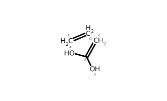 C=C.C=C(O)O